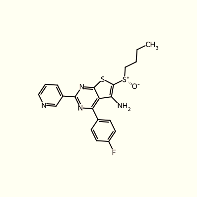 CCCC[S@+]([O-])c1sc2nc(-c3cccnc3)nc(-c3ccc(F)cc3)c2c1N